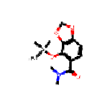 CN(C)C(=O)c1ccc2c(c1O[Si](C)(C)C(C)(C)C)OCO2